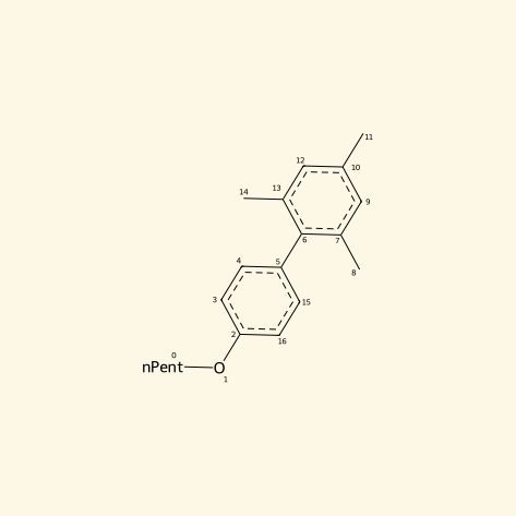 CCCCCOc1ccc(-c2c(C)cc(C)cc2C)cc1